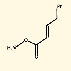 CC(C)CC=CC(=O)O[SiH3]